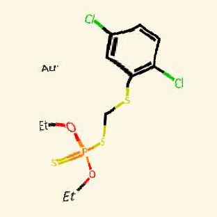 CCOP(=S)(OCC)SCSc1cc(Cl)ccc1Cl.[Au]